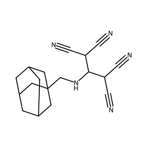 N#CC(C#N)C(NCC12CC3CC(CC(C3)C1)C2)C(C#N)C#N